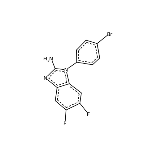 Nc1nc2cc(F)c(F)cc2n1-c1ccc(Br)cc1